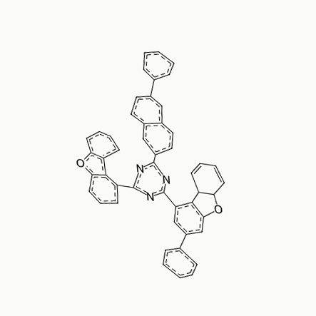 C1=CC2Oc3cc(-c4ccccc4)cc(-c4nc(-c5ccc6cc(-c7ccccc7)ccc6c5)nc(-c5cccc6oc7ccccc7c56)n4)c3C2C=C1